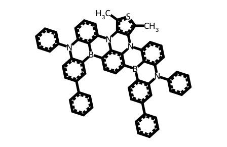 Cc1sc(C)c2c1N1c3cccc4c3B(c3cc(-c5ccccc5)ccc3N4c3ccccc3)c3ccc4c(c31)N2c1cccc2c1B4c1ccc(-c3ccccc3)cc1N2c1ccccc1